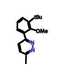 COc1c(-c2ccc(C)nn2)cccc1C(C)(C)C